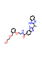 COCCOCc1ccccc1OCCNC(=O)c1ccc2nc(C(C)c3nc4ccccc4[nH]3)n(C)c2c1